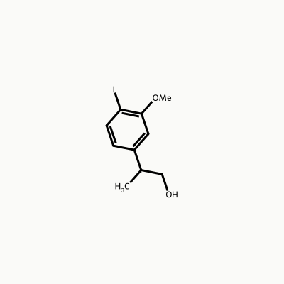 COc1cc([C](C)CO)ccc1I